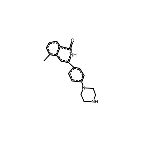 Cc1cccc2c(=O)[nH]c(-c3ccc(N4CCNCC4)cc3)cc12